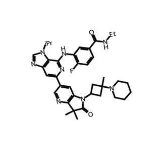 CCNC(=O)c1ccc(F)c(Nc2nc(-c3cnc4c(c3)N(C3CC(C)(N5CCCCC5)C3)C(=O)C4(C)C)cc3ncn(C(C)C)c23)c1